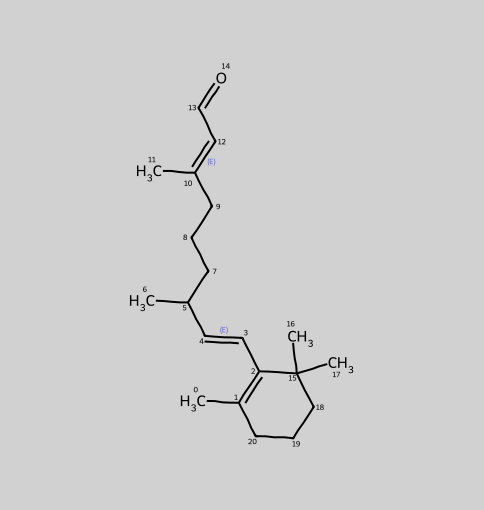 CC1=C(/C=C/C(C)CCC/C(C)=C/C=O)C(C)(C)CCC1